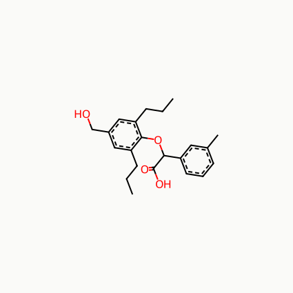 CCCc1cc(CO)cc(CCC)c1OC(C(=O)O)c1cccc(C)c1